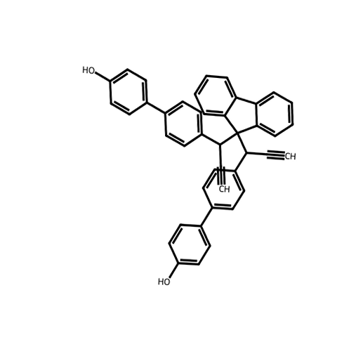 C#CC(c1ccc(-c2ccc(O)cc2)cc1)C1(C(C#C)c2ccc(-c3ccc(O)cc3)cc2)c2ccccc2-c2ccccc21